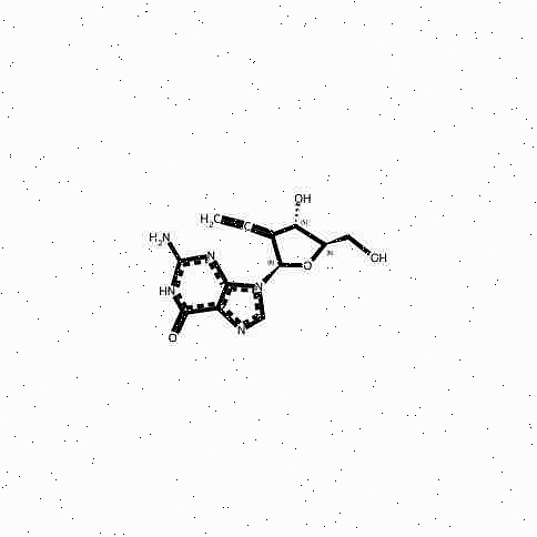 C=C=C1[C@H](n2cnc3c(=O)[nH]c(N)nc32)O[C@H](CO)[C@H]1O